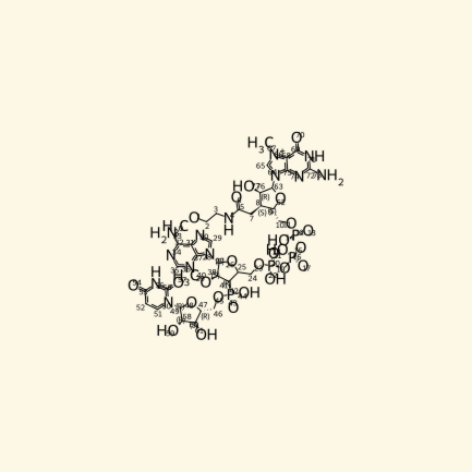 COCCNC(=O)C[C@@H]1[C@@H](COP(=O)(O)OP(=O)(O)OP(=O)(O)OCC2O[C@@H](n3cnc4c(N)ncnc43)[C@H](OC)[C@@H]2P(=O)(O)OC[C@H]2O[C@@H](n3ccc(=O)[nH]c3=O)[C@H](O)[C@@H]2O)OC(n2c[n+](C)c3c(=O)[nH]c(N)nc32)[C@@H]1O